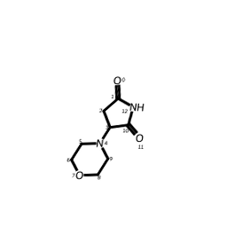 O=C1CC(N2CCOCC2)C(=O)N1